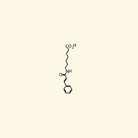 O=C(O)CCCCCCNC(=O)C=Cc1ccccc1